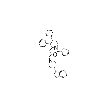 O=C(c1ccccc1)N1CCC(c2ccccc2)C(c2ccccc2)C1CCCN1CCC(C2CCc3ccccc32)CC1